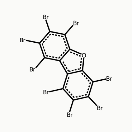 Brc1c(Br)c(Br)c2c(oc3c(Br)c(Br)c(Br)c(Br)c32)c1Br